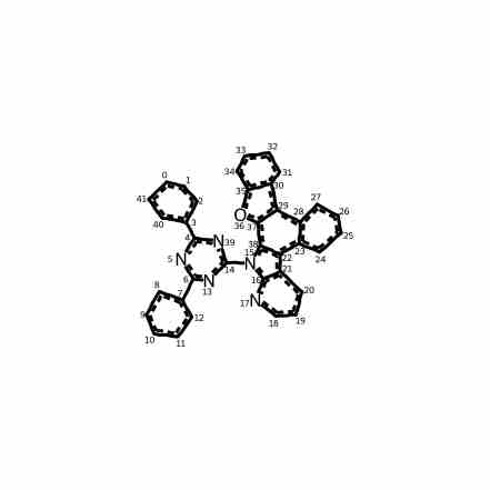 c1ccc(-c2nc(-c3ccccc3)nc(-n3c4ncccc4c4c5ccccc5c5c6ccccc6oc5c43)n2)cc1